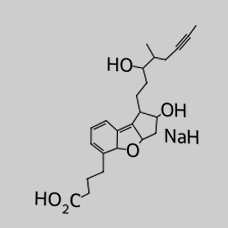 CC#CCC(C)C(O)CCC1C2=C3C=CC=C(CCCC(=O)O)C3OC2CC1O.[NaH]